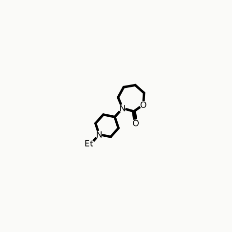 CCN1CCC(N2CCCCOC2=O)CC1